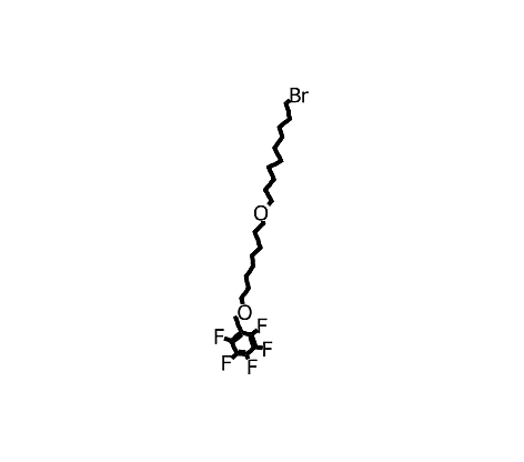 Fc1c(F)c(F)c(COCCCCCCCCOCCCCCCCCCCBr)c(F)c1F